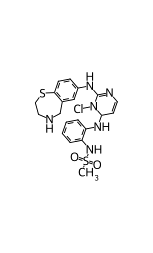 CS(=O)(=O)Nc1ccccc1NC1C=CN=C(Nc2ccc3c(c2)CNCCS3)N1Cl